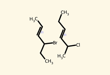 C/C=C/C(Br)CC.CC/C=C/C(C)Cl